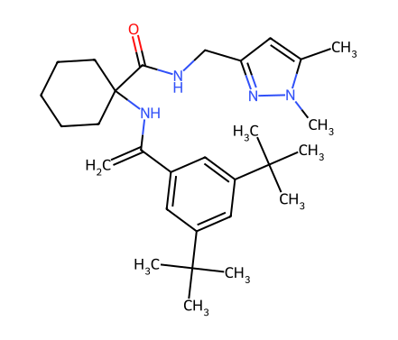 C=C(NC1(C(=O)NCc2cc(C)n(C)n2)CCCCC1)c1cc(C(C)(C)C)cc(C(C)(C)C)c1